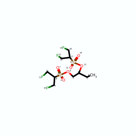 CCC(COS(=O)(=O)C(CF)CF)OS(=O)(=O)C(CF)CF